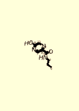 CCCNC(=O)c1cnc(O)cn1